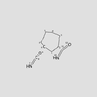 C1CCCCCC1.N=C=O.N=C=O